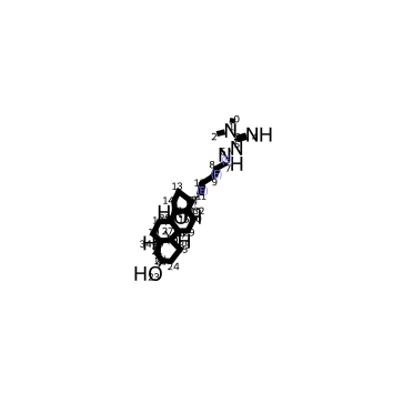 CN(C)C(=N)N/N=C/C=C/C=C/[C@H]1CC[C@]2(O)[C@@H]3CC[C@@H]4C[C@@H](O)CC[C@]4(C)[C@H]3CC[C@]12C